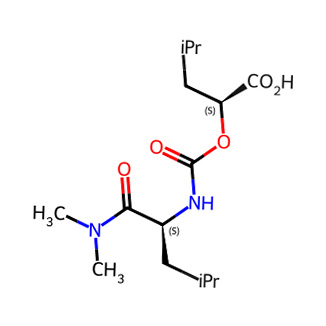 CC(C)C[C@H](NC(=O)O[C@@H](CC(C)C)C(=O)O)C(=O)N(C)C